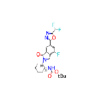 CC(C)(C)OC(=O)N[C@@H]1CCCC[C@H]1N1Cc2c(F)cc(-c3nnc(C(F)F)o3)cc2C1=O